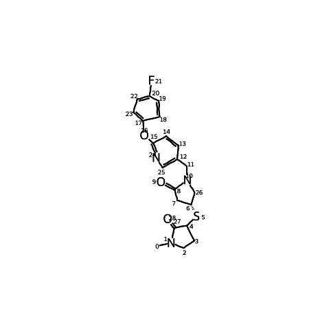 CN1CCC(S[C@@H]2CC(=O)N(Cc3ccc(Oc4ccc(F)cc4)nc3)C2)C1=O